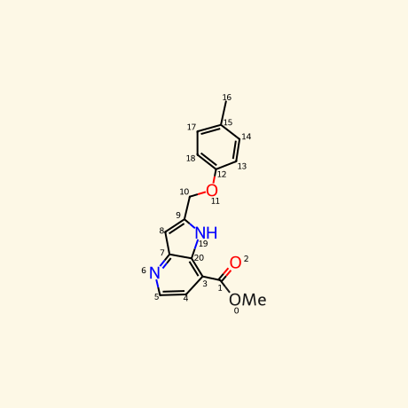 COC(=O)c1ccnc2cc(COc3ccc(C)cc3)[nH]c12